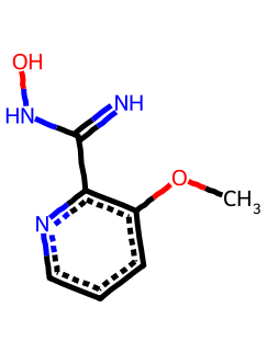 COc1cccnc1C(=N)NO